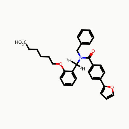 [2H]C([2H])(c1ccccc1OCCCCCC(=O)O)N(Cc1ccccc1)C(=O)c1ccc(-c2ccco2)cc1